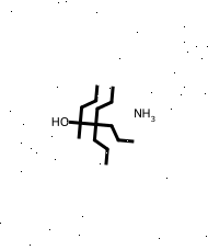 CCCC(C)(O)C(CCC)(CCC)CCC.N